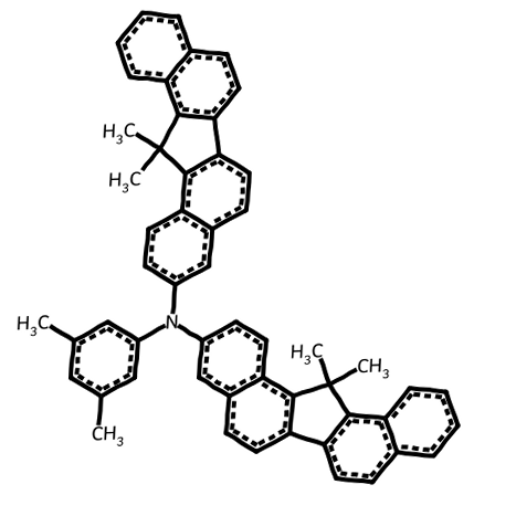 Cc1cc(C)cc(N(c2ccc3c4c(ccc3c2)-c2ccc3ccccc3c2C4(C)C)c2ccc3c4c(ccc3c2)-c2ccc3ccccc3c2C4(C)C)c1